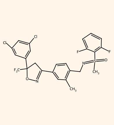 Cc1cc(C2=NOC(c3cc(Cl)cc(Cl)c3)(C(F)(F)F)C2)ccc1CN=S(C)(=O)c1c(F)cccc1F